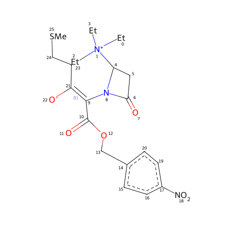 CC[N+](CC)(CC)C1CC(=O)N1/C(C(=O)OCc1ccc([N+](=O)[O-])cc1)=C(/[O-])CCSC